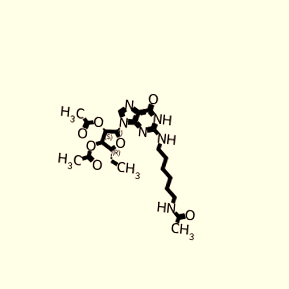 CC[C@H]1O[C@@H](n2cnc3c(=O)[nH]c(NCCCCCCNC(C)=O)nc32)[C@@H](OC(C)=O)C1OC(C)=O